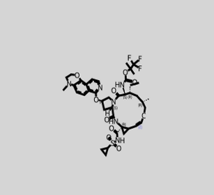 CC[C@@H]1C[C@H](C)CC/C=C\C2C[C@@]2(C(=O)NS(=O)(=O)C2CC2)NC(=O)[C@@H]2C[C@@H](Oc3nccc4c5c(ccc34)N(C)CCO5)CN2C(=O)[C@H]1NC(=O)OC(C)(C)C(F)(F)F